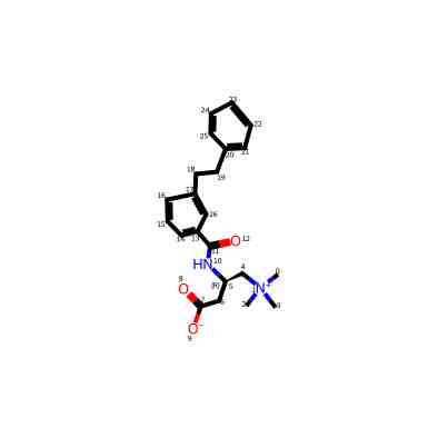 C[N+](C)(C)C[C@@H](CC(=O)[O-])NC(=O)c1cccc(CCc2ccccc2)c1